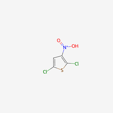 O=[N+](O)c1cc(Cl)sc1Cl